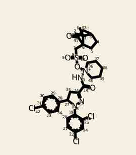 CC1(C)C2CCC1(CS(=O)(=O)O[N+]1(NC(=O)C3=NN(c4ccc(Cl)cc4Cl)C(c4ccc(Cl)cc4)C3)CCCCC1)C(=O)C2